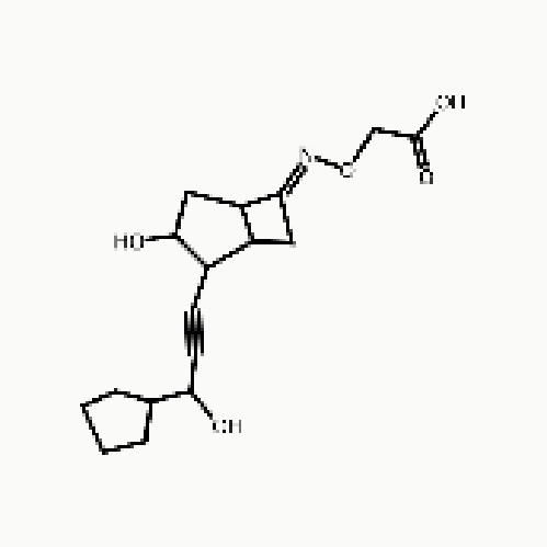 O=C(O)CON=C1CC2C1CC(O)C2C#CC(O)C1CCCC1